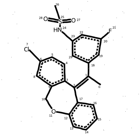 C/C(=C1/c2ccc(Cl)cc2COc2ccccc21)c1cc(F)cc(NS(C)(=O)=O)c1